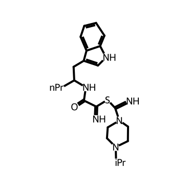 CCCC(Cc1c[nH]c2ccccc12)NC(=O)C(=N)SC(=N)N1CCN(C(C)C)CC1